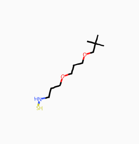 CC(C)(C)COCCCOCCCNS